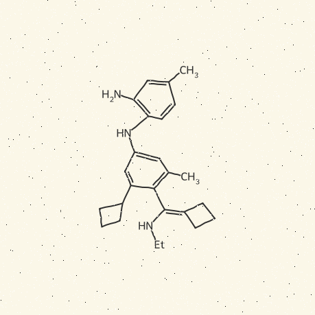 CCNC(=C1CCC1)c1c(C)cc(Nc2ccc(C)cc2N)cc1C1CCC1